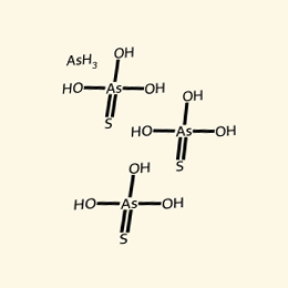 O[As](O)(O)=S.O[As](O)(O)=S.O[As](O)(O)=S.[AsH3]